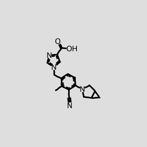 Cc1c(Cn2cnc(C(=O)O)c2)ccc(N2CC3CC3C2)c1C#N